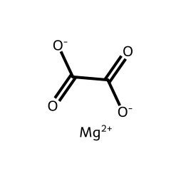 O=C([O-])C(=O)[O-].[Mg+2]